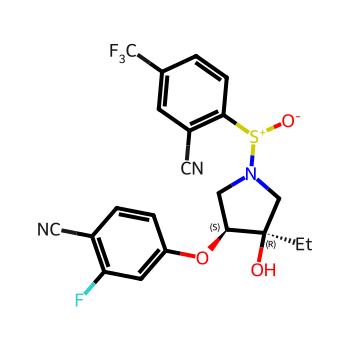 CC[C@@]1(O)CN([S+]([O-])c2ccc(C(F)(F)F)cc2C#N)C[C@@H]1Oc1ccc(C#N)c(F)c1